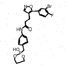 O=C(CCc1cnoc1-c1ccc(F)c(Br)c1)Nc1ccc(C[P]2(O)OCCCO2)cc1